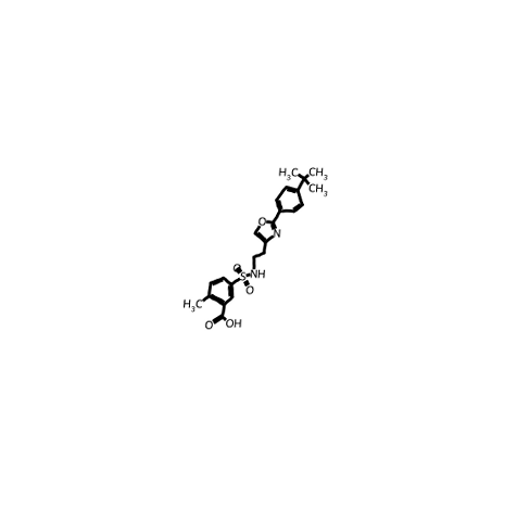 Cc1ccc(S(=O)(=O)NCCc2coc(-c3ccc(C(C)(C)C)cc3)n2)cc1C(=O)O